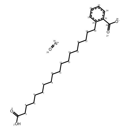 O=C(O)CCCCCCCCCCCCCCCCCc1ccccc1C(=O)[O-].[O]=[Al+]